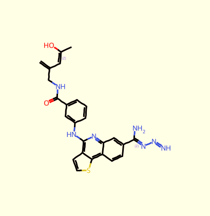 C=C(/C=C(/C)O)CNC(=O)c1cccc(Nc2nc3cc(/C(N)=N/N=N)ccc3c3sccc23)c1